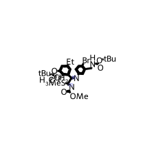 CCc1cc(O[Si](C)(C)C(C)(C)C)c(F)c(C(=N\c2ccc(Br)c(CNC(=O)OC(C)(C)C)c2)/C(=N/C(=O)OC)SC)c1